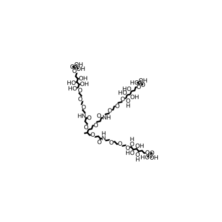 CC(COCCC(=O)NCCOCCOCCOC(O)C(O)C(O)C(O)CCOP(=O)(O)O)C(CCOCCC(=O)NCCOCCOCCOC(O)C(O)C(O)C(O)CCOP(=O)(O)O)OCCC(=O)NCCOCCOCCOC(O)C(O)C(O)C(O)CCOP(=O)(O)O